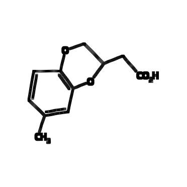 Cc1ccc2c(c1)OC(CC(=O)O)CO2